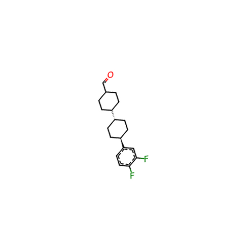 O=CC1CCC([C@H]2CC[C@H](c3ccc(F)c(F)c3)CC2)CC1